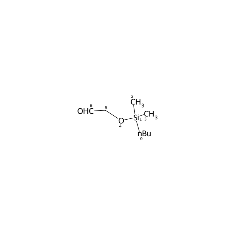 CCCC[Si](C)(C)OCC=O